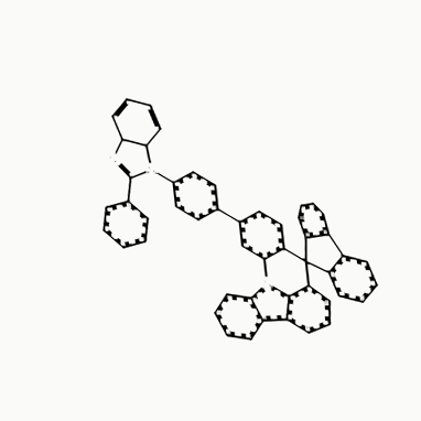 C1=CC2N=C(c3ccccc3)N(c3ccc(-c4ccc5c(c4)-n4c6ccccc6c6cccc(c64)C54c5ccccc5-c5ccccc54)cc3)C2C=C1